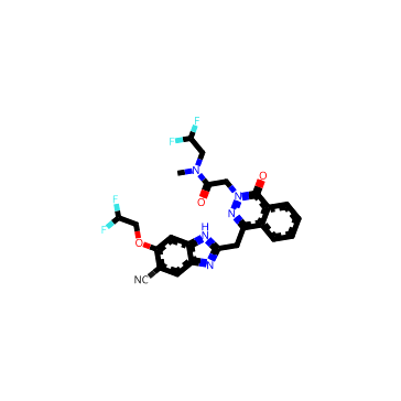 CN(CC(F)F)C(=O)Cn1nc(Cc2nc3cc(C#N)c(OCC(F)F)cc3[nH]2)c2ccccc2c1=O